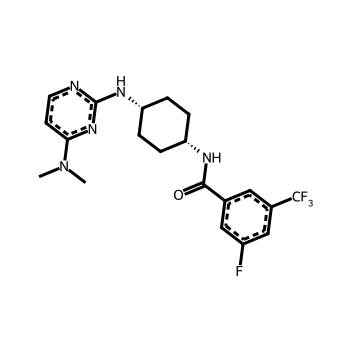 CN(C)c1ccnc(N[C@H]2CC[C@@H](NC(=O)c3cc(F)cc(C(F)(F)F)c3)CC2)n1